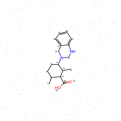 CC1CCC(N2CNc3ccccc3C2)C(C)C1C(=O)O